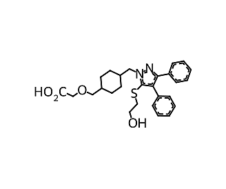 O=C(O)COCC1CCC(Cn2nc(-c3ccccc3)c(-c3ccccc3)c2SCCO)CC1